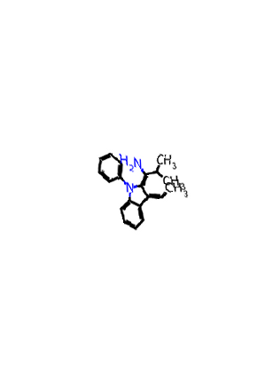 C/C=c1\c(=C(\N)C(C)C)n(-c2ccccc2)c2ccccc12